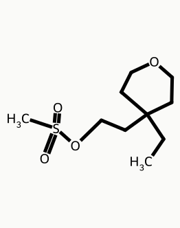 CCC1(CCOS(C)(=O)=O)CCOCC1